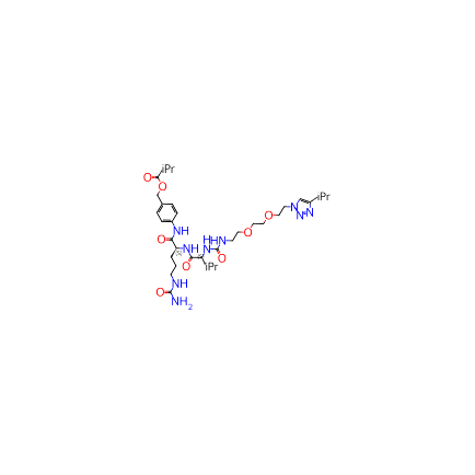 CC(C)C(=O)OCc1ccc(NC(=O)[C@H](CCCNC(N)=O)NC(=O)[C@@H](NC(=O)NCCOCCOCCn2cc(C(C)C)nn2)C(C)C)cc1